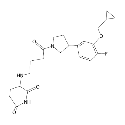 O=C1CCC(NCCCC(=O)N2CCC(c3ccc(F)c(OCC4CC4)c3)C2)C(=O)N1